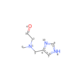 CN(C[C]=O)Cc1c[nH]cn1